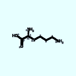 NCCCS[C@H](N)C(=O)O